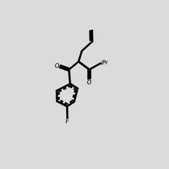 C=CCC(C(=O)c1ccc(F)cc1)C(=O)C(C)C